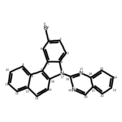 Brc1ccc2c(c1)c1c3ccccc3ccc1n2-c1ncc2ccccc2n1